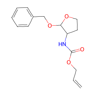 C=CCOC(=O)NC1CCOC1OCc1ccccc1